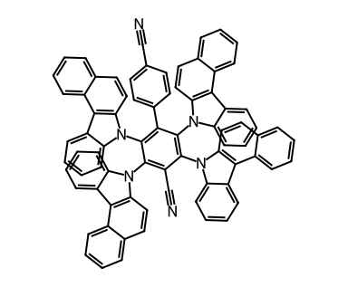 N#Cc1ccc(-c2c(-n3c4ccccc4c4c5ccccc5ccc43)c(-n3c4ccccc4c4c5ccccc5ccc43)c(C#N)c(-n3c4ccccc4c4c5ccccc5ccc43)c2-n2c3ccccc3c3c4ccccc4ccc32)cc1